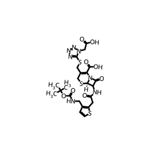 CC(C)(C)OC(=O)NCc1ccsc1CC(=O)NC1C(=O)N2C(C(=O)O)=C(CSc3nnnn3CC(=O)O)CS[C@H]12